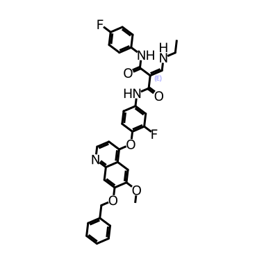 CCN/C=C(\C(=O)Nc1ccc(F)cc1)C(=O)Nc1ccc(Oc2ccnc3cc(OCc4ccccc4)c(OC)cc23)c(F)c1